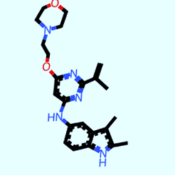 C=C(C)c1nc(Nc2ccc3[nH]c(C)c(C)c3c2)cc(OCCN2CCOCC2)n1